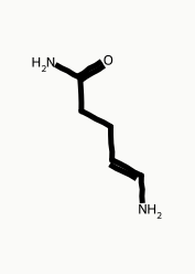 NC=CCCC(N)=O